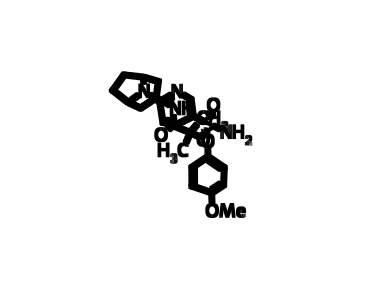 COc1ccc(OC(C)(C)C(=O)NC2CC3CCC(C2)N3c2ccc(S(N)(=O)=O)cn2)cc1